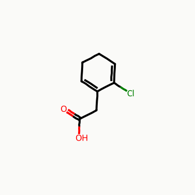 O=C(O)CC1=CCCC=C1Cl